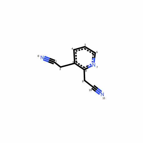 N#CCc1cccnc1CC#N